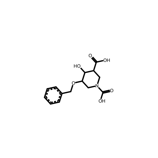 O=C(O)C1CN(C(=O)O)CC(OCc2ccccc2)C1O